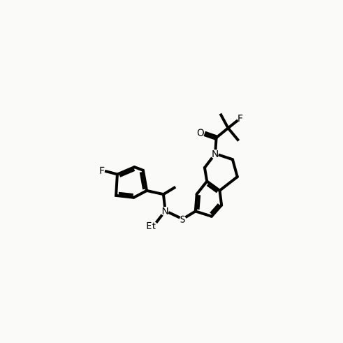 CCN(Sc1ccc2c(c1)CN(C(=O)C(C)(C)F)CC2)C(C)c1ccc(F)cc1